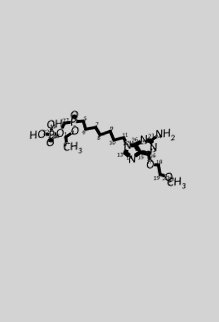 CCOP(=O)(CCCCCCCn1cnc2c(OCCOC)nc(N)nc21)COP(=O)(O)O